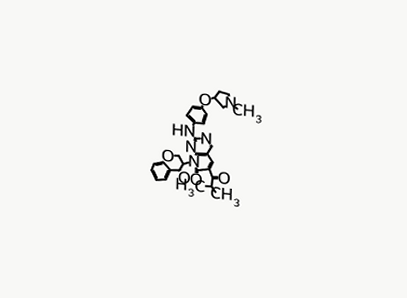 CC(C)C(=O)c1cc2cnc(Nc3ccc(OC4CCN(C)C4)cc3)nc2n(C2COc3ccccc3C2=O)c1=O